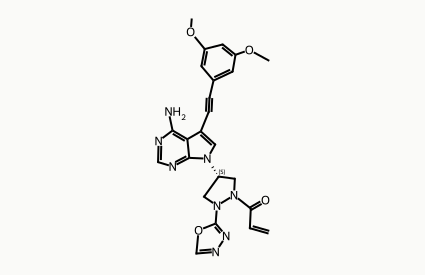 C=CC(=O)N1C[C@@H](n2cc(C#Cc3cc(OC)cc(OC)c3)c3c(N)ncnc32)CN1c1nnco1